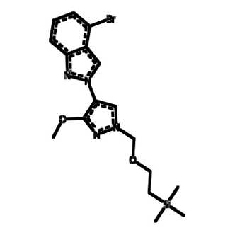 COc1nn(COCC[Si](C)(C)C)cc1-n1cc2c(Br)cccc2n1